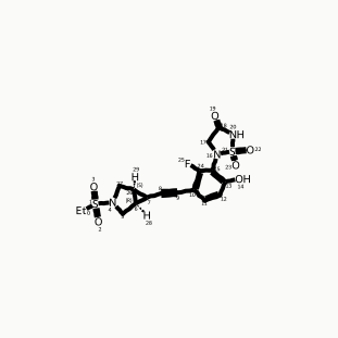 CCS(=O)(=O)N1C[C@@H]2C(C#Cc3ccc(O)c(N4CC(=O)NS4(=O)=O)c3F)[C@@H]2C1